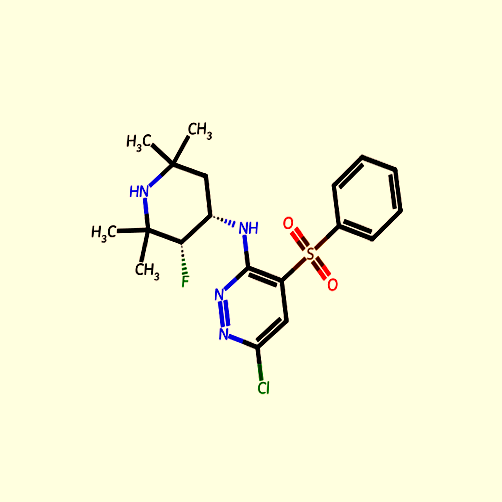 CC1(C)C[C@H](Nc2nnc(Cl)cc2S(=O)(=O)c2ccccc2)[C@H](F)C(C)(C)N1